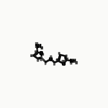 Nc1ccc(COCc2ccc(N)o2)o1